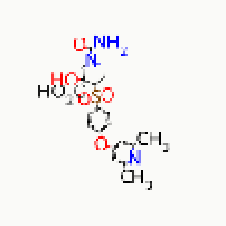 Cc1cc(Oc2ccc(S(=O)(=O)C3CCN(C(N)=O)CC3(O)C(=O)O)cc2)cc(C)n1